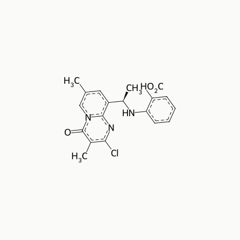 Cc1cc([C@@H](C)Nc2ccccc2C(=O)O)c2nc(Cl)c(C)c(=O)n2c1